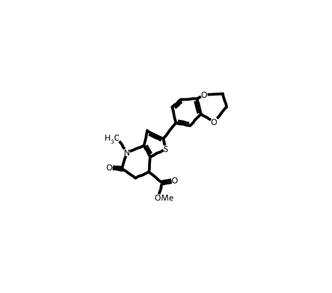 COC(=O)C1CC(=O)N(C)c2cc(-c3ccc4c(c3)OCCO4)sc21